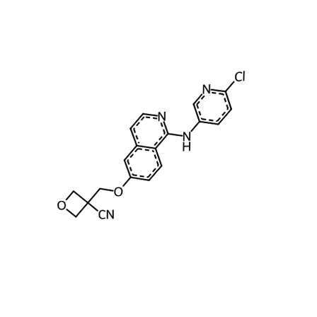 N#CC1(COc2ccc3c(Nc4ccc(Cl)nc4)nccc3c2)COC1